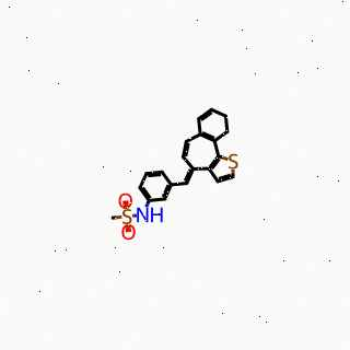 CS(=O)(=O)Nc1cccc(C=C2C=CC3=C(CCC=C3)c3sccc32)c1